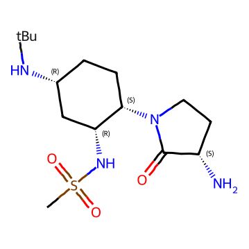 CC(C)(C)N[C@@H]1CC[C@H](N2CC[C@H](N)C2=O)[C@H](NS(C)(=O)=O)C1